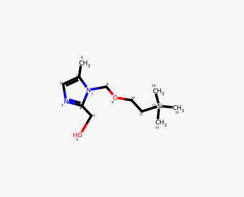 Cc1cnc(CO)n1COCC[Si](C)(C)C